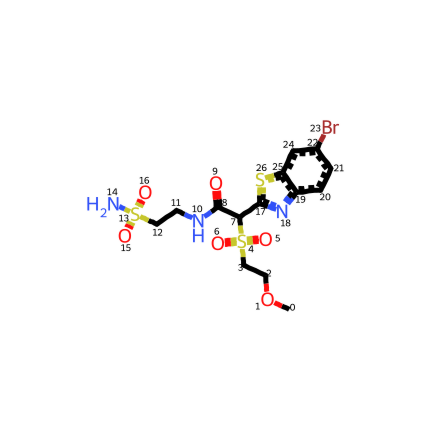 COCCS(=O)(=O)C(C(=O)NCCS(N)(=O)=O)c1nc2ccc(Br)cc2s1